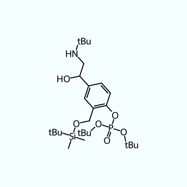 CC(C)(C)NCC(O)c1ccc(OP(=O)(OC(C)(C)C)OC(C)(C)C)c(CO[Si](C)(C)C(C)(C)C)c1